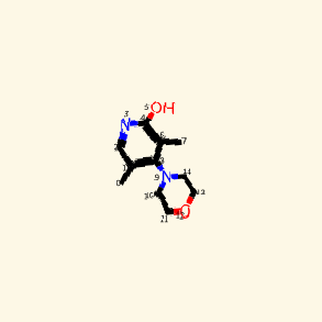 Cc1cnc(O)c(C)c1N1CCOCC1